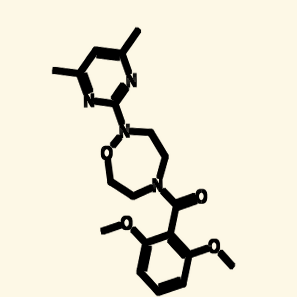 COc1cccc(OC)c1C(=O)N1CCON(c2nc(C)cc(C)n2)CC1